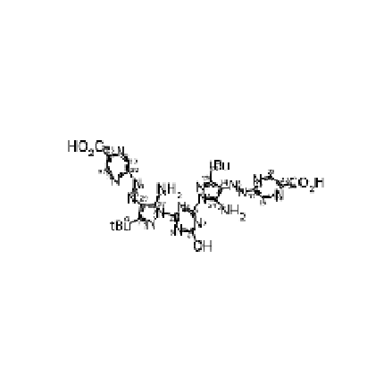 CC(C)(C)c1nn(-c2nc(O)nc(-n3nc(C(C)(C)C)c(N=Nc4cnc(C(=O)O)cn4)c3N)n2)c(N)c1N=Nc1cnc(C(=O)O)cn1